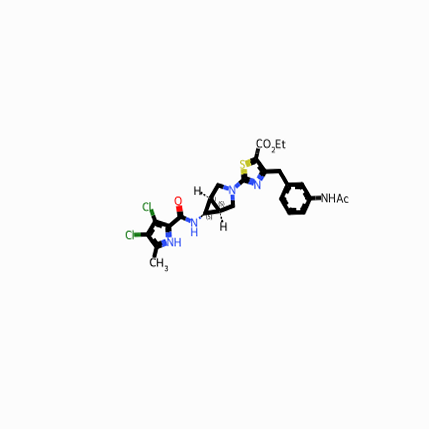 CCOC(=O)c1sc(N2C[C@@H]3[C@H](C2)[C@H]3NC(=O)c2[nH]c(C)c(Cl)c2Cl)nc1Cc1cccc(NC(C)=O)c1